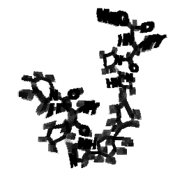 COC(=O)N[C@H](C(=O)N1CCC[C@H]1c1ncc(-c2ccc(C3(C)CCC(C)(c4cnc([C@@H]5CCCN5C(=O)[C@@H](NC(=O)N5CCCCC5)C(C)C)[nH]4)CC3)cc2)[nH]1)C(C)C